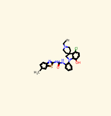 Cc1ccc2nc(NC(=O)Nc3ccccc3N3CC4(CCN(CC(C)C)CC4)c4c(Cl)ccc(O)c43)sc2c1